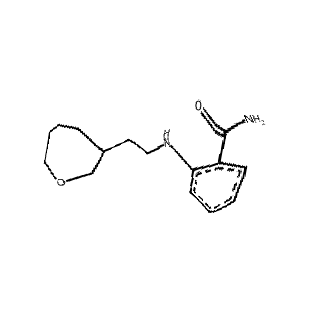 NC(=O)c1ccccc1NCCC1CCCOC1